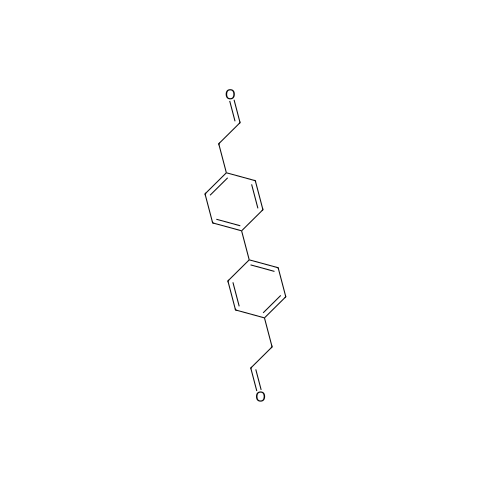 O=CCc1ccc(-c2ccc(CC=O)cc2)cc1